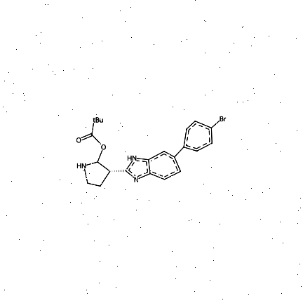 CC(C)(C)C(=O)OC1NCC[C@H]1c1nc2ccc(-c3ccc(Br)cc3)cc2[nH]1